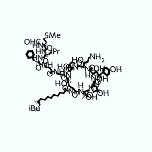 CC[C@H](C)C[C@H](C)CCCCCCCCC(=O)N[C@H]1C[C@@H](O)[C@@H](OCCNC(=O)CCNC(=O)[C@H](Cc2ccccc2)NC(=O)[C@H](CC(C)C)NC(=O)[C@H](CCSC)NC=O)NC(=O)[C@@H]2[C@@H](O)CCN2C(=O)[C@H]([C@H](O)CCN)NC(=O)[C@H]([C@H](O)[C@@H](O)c2ccc(O)cc2)NC(=O)[C@@H]2C[C@@H](O)CN2C(=O)[C@H]([C@@H](C)O)NC1=O